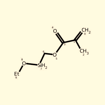 C=C(C)C(=O)OC[SiH2]OCC